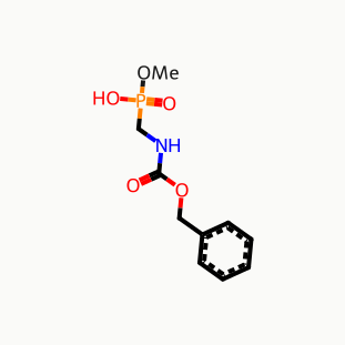 COP(=O)(O)CNC(=O)OCc1ccccc1